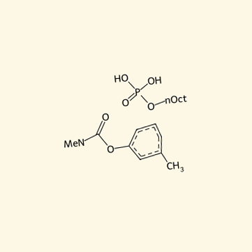 CCCCCCCCOP(=O)(O)O.CNC(=O)Oc1cccc(C)c1